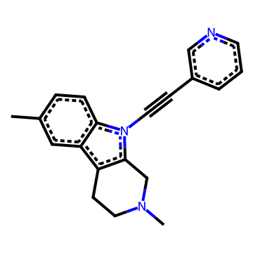 Cc1ccc2c(c1)c1c(n2C#Cc2cccnc2)CN(C)CC1